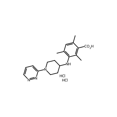 Cc1cc(C)c(C(=O)O)c(C)c1NC1CCN(c2cccnn2)CC1.Cl.Cl